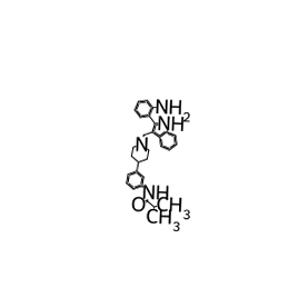 CC(C)C(=O)Nc1cccc(C2CCN(Cc3c(-c4ccccc4N)[nH]c4ccccc34)CC2)c1